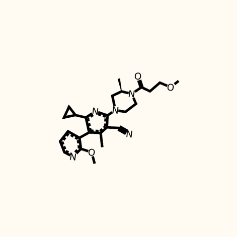 COCCC(=O)N1CCN(c2nc(C3CC3)c(-c3cccnc3OC)c(C)c2C#N)C[C@H]1C